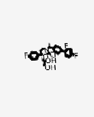 C[C@@H](c1ccc(-c2ccc(F)cc2F)cc1)N1CC[C@](CC(O)CO)(c2ccc(F)cc2)OC1=O